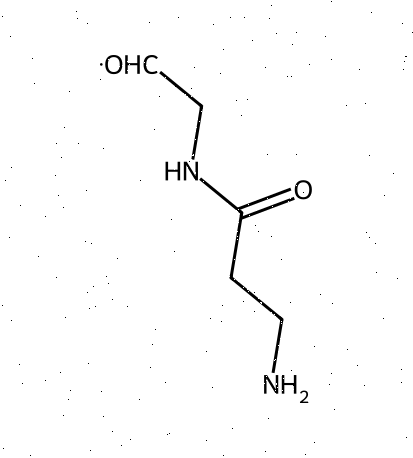 NCCC(=O)NC[C]=O